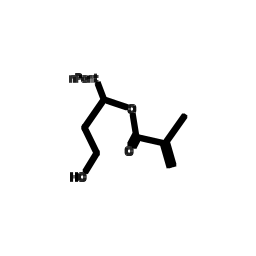 C=C(C)C(=O)OC(CCO)CCCCC